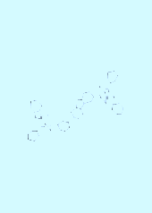 Cc1c(/C(=N\C(C)c2cccc(-c3ccc4c(c3)oc3ccc(-c5nc(-c6ccccc6)nc(-c6ccccc6)n5)cc34)c2)c2ccccc2)oc2ccccc12